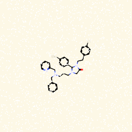 CCc1ccc(CCN2C(=O)CN(CCCN(Cc3ccccc3)Cc3ccccn3)C2c2ccc(C(C)(C)C)cc2)cc1